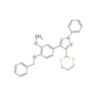 COc1cc(-c2cn(-c3ccccc3)nc2C2SCCCS2)ccc1OCc1ccccc1